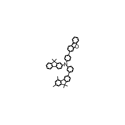 Cc1cc(C)c2c(c1)C(C)(C)c1ccc(-c3cccc(N(c4ccc(-c5ccc6c(c5)oc5ccccc56)cc4)c4ccc5c(c4)C(C)(C)c4ccccc4-5)c3)cc1-2